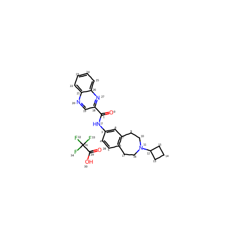 O=C(Nc1ccc2c(c1)CCN(C1CCC1)CC2)c1cnc2ccccc2n1.O=C(O)C(F)(F)F